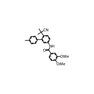 COc1ccc(C(=O)Nc2ccc(C(C)(C)C#N)c(-c3ccc(C)cc3)c2)cc1OC